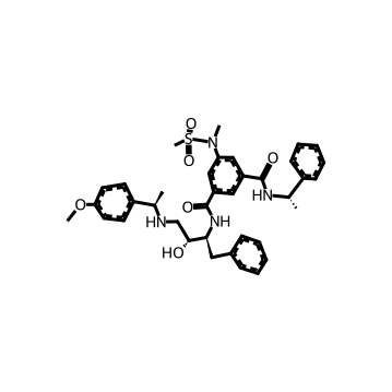 COc1ccc([C@@H](C)NC[C@@H](O)[C@H](Cc2ccccc2)NC(=O)c2cc(C(=O)N[C@@H](C)c3ccccc3)cc(N(C)S(C)(=O)=O)c2)cc1